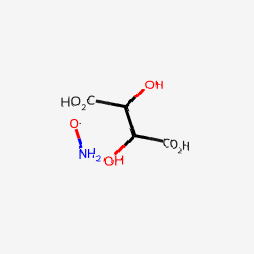 N[O].O=C(O)C(O)C(O)C(=O)O